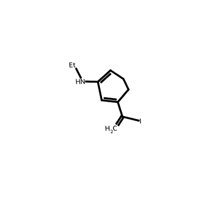 C=C(I)C1=CC(NCC)=CCC1